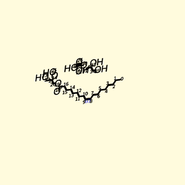 CCCCCCCC/C=C\CCCCCCCC(=O)OCC(CO)OO.O=P(O)(O)OCC(O)CO